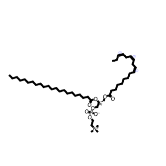 CC/C=C\C/C=C\C/C=C\CCCCCCCC(=O)OC[C@H](COP(=O)([O-])OCC[N+](C)(C)C)OC(=O)CCCCCCCCCCCCCCCCCCCCC